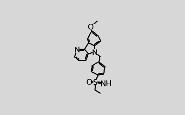 CCS(=N)(=O)c1ccc(Cn2c3ccc(OC)cc3c3ncccc32)cc1